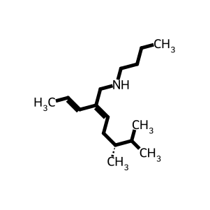 C/C=C/C(=C\C[C@@H](C)C(C)C)CNCCCC